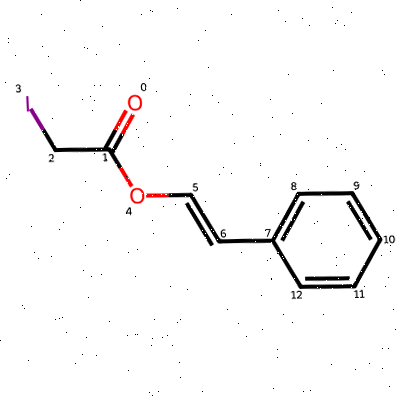 O=C(CI)OC=Cc1ccccc1